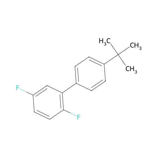 CC(C)(C)c1ccc(-c2cc(F)ccc2F)cc1